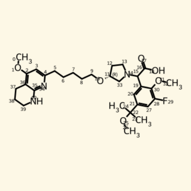 COc1cc(CCCCCO[C@@H]2CCN(C(C(=O)O)c3cc(C(C)(C)OC)cc(F)c3OC)C2)nc2c1CCCN2